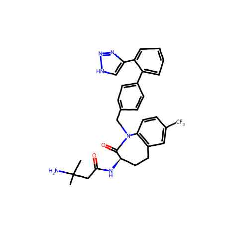 CC(C)(N)CC(=O)N[C@@H]1CCc2cc(C(F)(F)F)ccc2N(Cc2ccc(-c3ccccc3-c3c[nH]nn3)cc2)C1=O